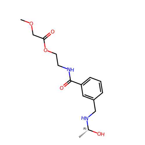 COCC(=O)OCCNC(=O)c1cccc(CN[C@@H](C)O)c1